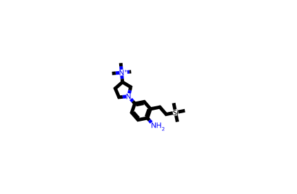 C[N+](C)(C)C1CCN(c2ccc(N)c(CC[Si](C)(C)C)c2)C1